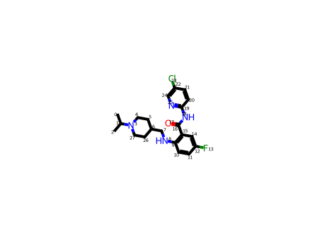 CC(C)N1CCC(CNc2ccc(F)cc2C(=O)Nc2ccc(Cl)cn2)CC1